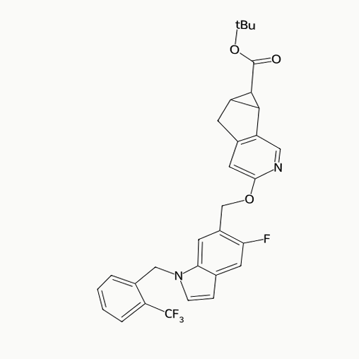 CC(C)(C)OC(=O)C1C2Cc3cc(OCc4cc5c(ccn5Cc5ccccc5C(F)(F)F)cc4F)ncc3C21